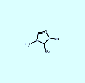 CCN1N=CN(C(Cl)(Cl)Cl)C1C(C)(C)C